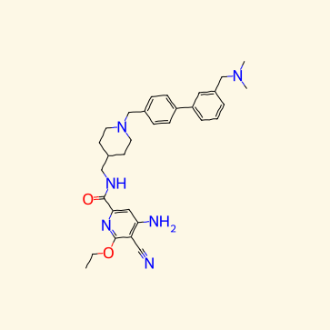 CCOc1nc(C(=O)NCC2CCN(Cc3ccc(-c4cccc(CN(C)C)c4)cc3)CC2)cc(N)c1C#N